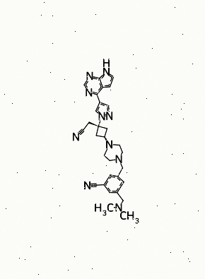 CN(C)Cc1cc(C#N)cc(CN2CCN([C@H]3C[C@](CC#N)(n4cc(-c5ncnc6[nH]ccc56)cn4)C3)CC2)c1